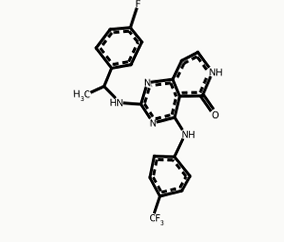 CC(Nc1nc(Nc2ccc(C(F)(F)F)cc2)c2c(=O)[nH]ccc2n1)c1ccc(F)cc1